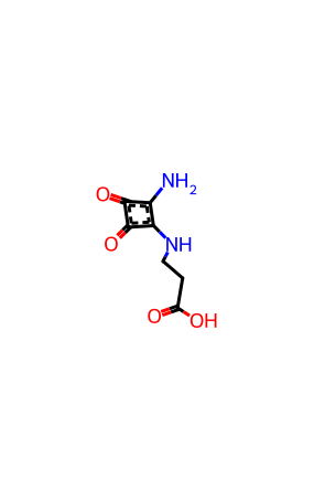 Nc1c(NCCC(=O)O)c(=O)c1=O